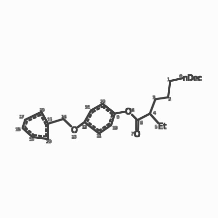 CCCCCCCCCCCCCC(CC)C(=O)Oc1ccc(OCc2ccccc2)cc1